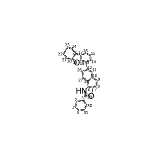 c1ccc([C@@H]2Nc3c(ccc4cc(-c5cccc6c5oc5ccccc56)ccc34)O2)cc1